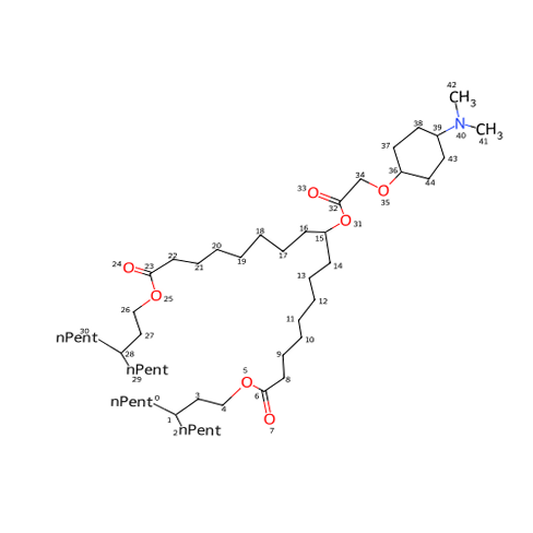 CCCCCC(CCCCC)CCOC(=O)CCCCCCCC(CCCCCCCC(=O)OCCC(CCCCC)CCCCC)OC(=O)COC1CCC(N(C)C)CC1